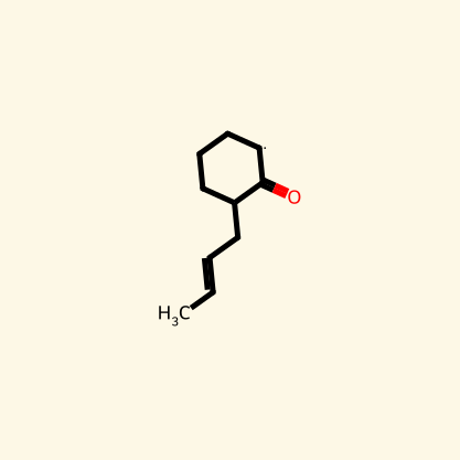 C/C=C/CC1CCC[CH]C1=O